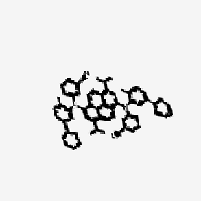 Cc1ccc(-c2ccccc2)cc1N(c1cccc(C#N)c1)c1cc(C(C)C)c2ccc3c(N(c4cccc(C#N)c4)c4cc(-c5ccccc5)ccc4C)cc(C(C)C)c4ccc1c2c43